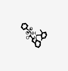 Cc1cccc(C)c1Cn1c(C(=O)NS(=O)(=O)c2ccccc2)cc2ccccc21